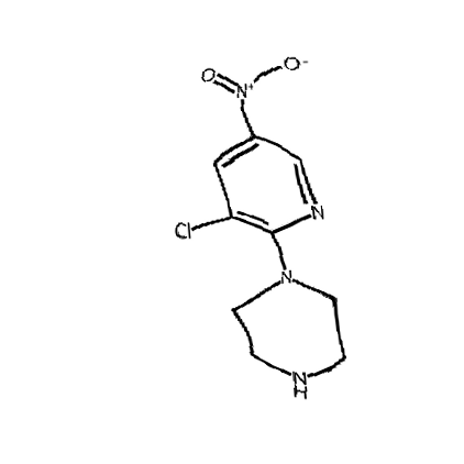 O=[N+]([O-])c1cnc(N2CCNCC2)c(Cl)c1